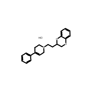 C1=C(c2ccccc2)CCN(CCC2COc3ccccc3O2)C1.Cl